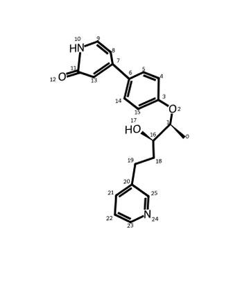 C[C@H](Oc1ccc(-c2cc[nH]c(=O)c2)cc1)[C@H](O)CCc1cccnc1